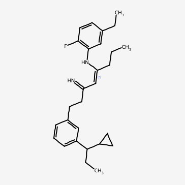 CCC/C(=C/C(=N)CCc1cccc(C(CC)C2CC2)c1)Nc1cc(CC)ccc1F